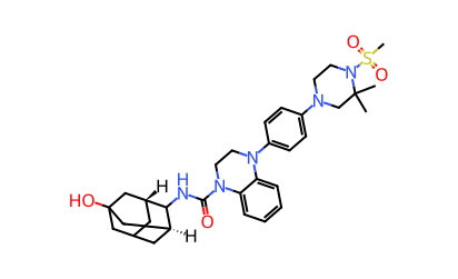 CC1(C)CN(c2ccc(N3CCN(C(=O)NC4[C@@H]5CC6C[C@H]4CC(O)(C6)C5)c4ccccc43)cc2)CCN1S(C)(=O)=O